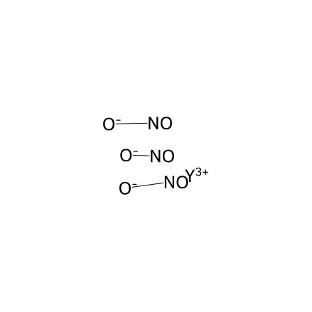 O=N[O-].O=N[O-].O=N[O-].[Y+3]